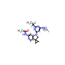 CNc1cc(N2CC3(CC3)c3cnc(NC(C)=O)cc32)nc(C(C)(F)F)n1